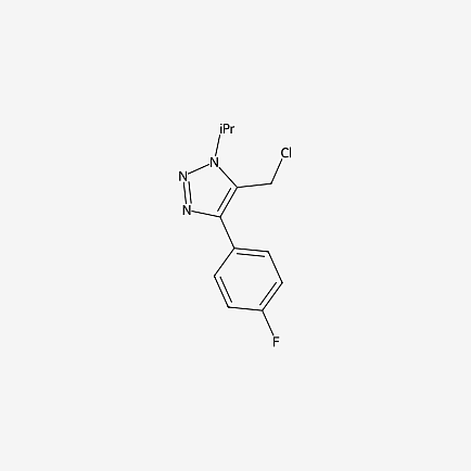 CC(C)n1nnc(-c2ccc(F)cc2)c1CCl